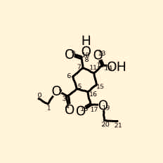 CCOC(=O)C1CC(C(=O)O)C(C(=O)O)CC1C(=O)OCC